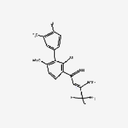 CN/C(=C\C(=N)c1ccc(OC)c(-c2ccc(Cl)c(C(F)(F)F)c2)c1O)C(F)(F)P